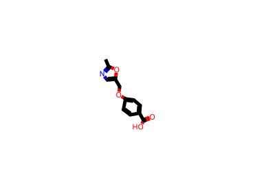 Cc1ncc(COc2ccc(C(=O)O)cc2)o1